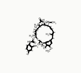 COc1cc2cc(c1Cl)N(C)C(O)C[C@H](OC(=O)Nc1ccc(F)cc1N)[C@]1(C)O[C@H]1[C@H](C)[C@@H]1C[C@@](O)(NC(=O)O1)[C@H](OC)/C=C/C=C(\C)C2